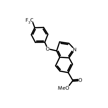 COC(=O)c1ccc2c(Oc3ccc(C(F)(F)F)cc3)ccnc2c1